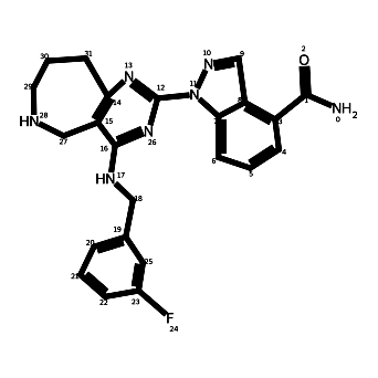 NC(=O)c1cccc2c1cnn2-c1nc2c(c(NCc3cccc(F)c3)n1)CNCCC2